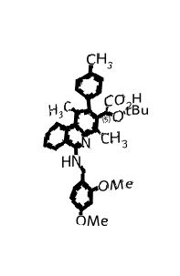 COc1ccc(CNc2nc3c(C)c([C@H](OC(C)(C)C)C(=O)O)c(-c4ccc(C)cc4)c(C)c3c3ccccc23)c(OC)c1